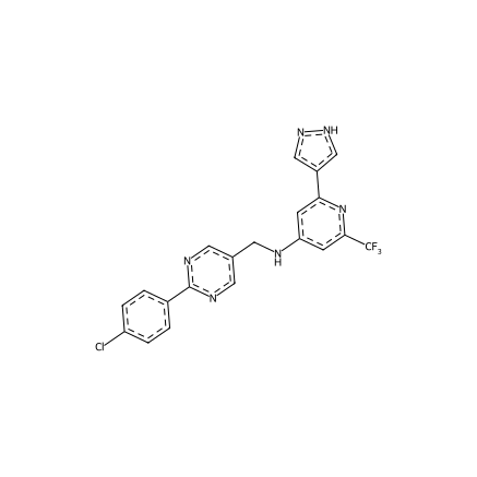 FC(F)(F)c1cc(NCc2cnc(-c3ccc(Cl)cc3)nc2)cc(-c2cn[nH]c2)n1